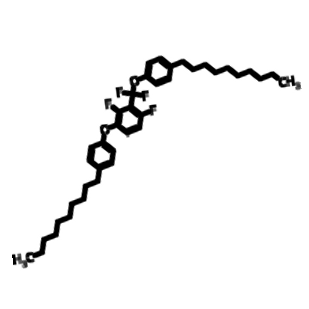 CCCCCCCCCCc1ccc(Oc2[c]cc(F)c(C(F)(F)Oc3ccc(CCCCCCCCCC)cc3)c2F)cc1